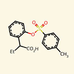 CCC(C(=O)O)c1ccccc1OS(=O)(=O)c1ccc(C)cc1